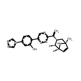 C=C(c1ncc(-c2ccc(-n3cnnc3)cc2O)nn1)[C@H]1C[C@]2(C)C=C[C@@H](N2)[C@H]1F